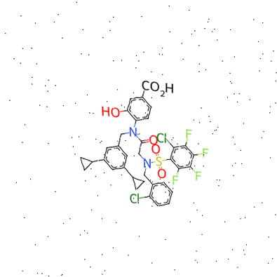 O=C(O)c1ccc(N(Cc2cc(C3CC3)cc(C3CC3)c2)C(=O)CN(Cc2ccccc2Cl)S(=O)(=O)c2c(F)c(F)c(F)c(F)c2Cl)c(O)c1